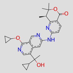 C[C@@H]1c2nc(Nc3cc4c(C(C)(O)C5CC5)cnc(OC5CC5)c4cn3)ccc2C(=O)OC1(C)C